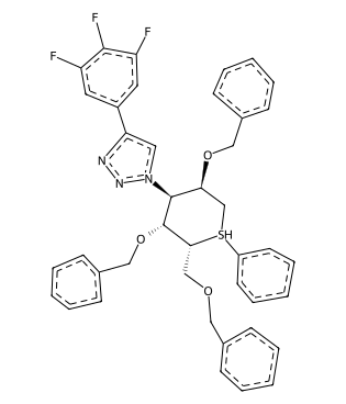 Fc1cc(-c2cn([C@@H]3[C@@H](OCc4ccccc4)[C@@H](COCc4ccccc4)[SH](c4ccccc4)C[C@@H]3OCc3ccccc3)nn2)cc(F)c1F